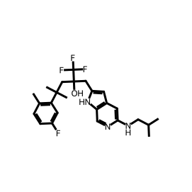 Cc1ccc(F)cc1C(C)(C)CC(O)(Cc1cc2cc(NCC(C)C)ncc2[nH]1)C(F)(F)F